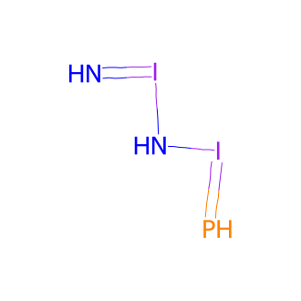 N=INI=P